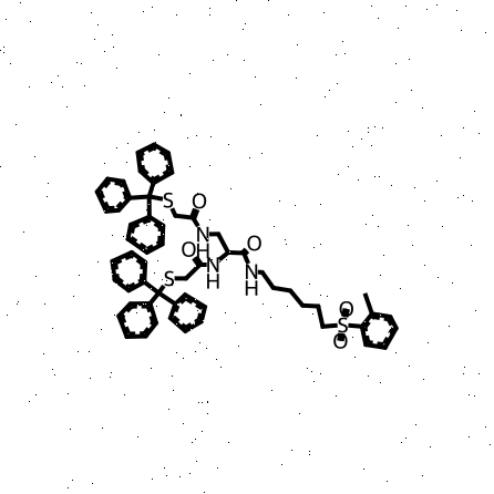 Cc1ccccc1S(=O)(=O)CCCCCCNC(=O)C(CNC(=O)CSC(c1ccccc1)(c1ccccc1)c1ccccc1)NC(=O)CSC(c1ccccc1)(c1ccccc1)c1ccccc1